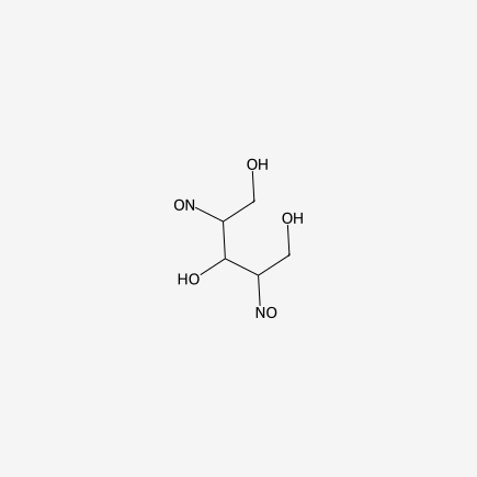 O=NC(CO)C(O)C(CO)N=O